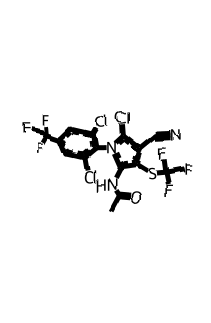 CC(=O)Nc1c(SC(F)(F)F)c(C#N)c(Cl)n1-c1c(Cl)cc(C(F)(F)F)cc1Cl